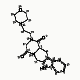 O=C1C2Cc3c([nH]c4ccccc34)CN2C(=O)CN1CCN1CCOCC1